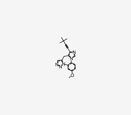 COc1ccc2c(c1)-n1nncc1Cc1c(C#CC(C)(C)C)ncn1-2